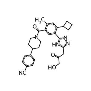 Cc1cc(C2CCC2)c(-c2nnc(CC(=O)CO)[nH]2)cc1C(=O)N1CCC(c2ccc(C#N)cc2)CC1